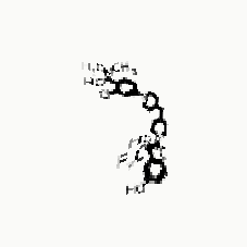 CN(C)C(O)c1ccc(N2CCC(CC3CCN(C(=O)C(O)(c4cccc(O)c4)C(F)(F)F)CC3)CC2)cc1Cl